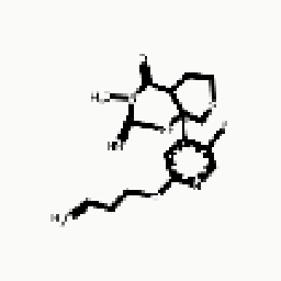 C=CCCOc1cc([C@]23COCCC2C(=O)N(C)C(=N)N3)c(F)cn1